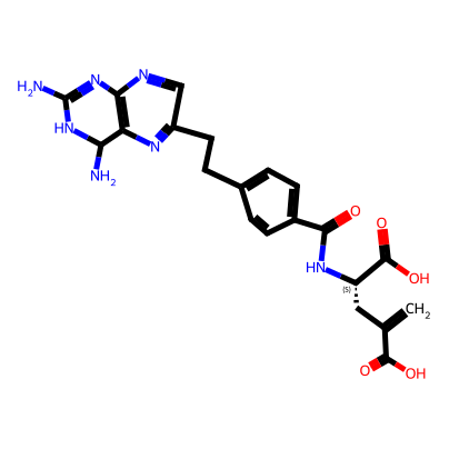 C=C(C[C@H](NC(=O)c1ccc(CCc2cnc3c(n2)C(N)NC(N)=N3)cc1)C(=O)O)C(=O)O